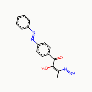 CC(N=N)=C(O)C(=O)c1ccc(N=Nc2ccccc2)cc1